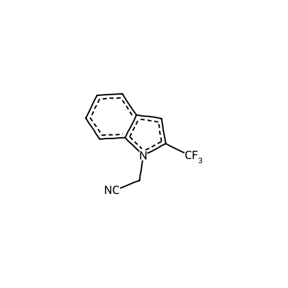 N#CCn1c(C(F)(F)F)cc2ccccc21